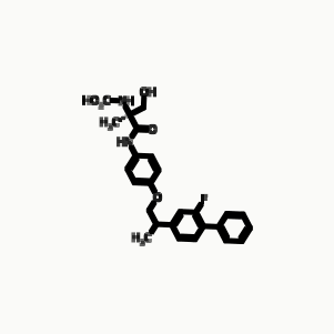 CC(COc1ccc(NC(=O)[C@](C)(CO)NC(=O)O)cc1)c1ccc(-c2ccccc2)c(F)c1